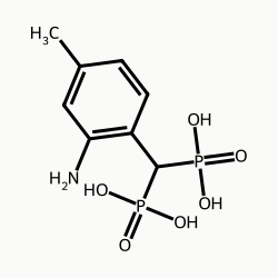 Cc1ccc(C(P(=O)(O)O)P(=O)(O)O)c(N)c1